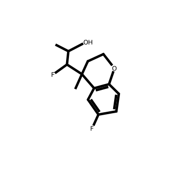 CC(O)C(F)C1(C)CCOc2ccc(F)cc21